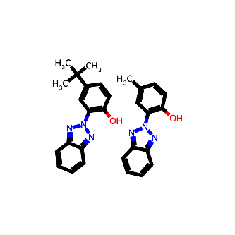 CC(C)(C)c1ccc(O)c(-n2nc3ccccc3n2)c1.Cc1ccc(O)c(-n2nc3ccccc3n2)c1